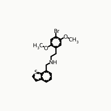 COc1cc(CCNCc2cccc3ccsc23)c(OC)cc1Br